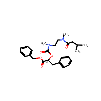 CC(C)CC(=O)N(C)CCN(C)C(=O)O[C@@H](Cc1ccccc1)C(=O)OCc1ccccc1